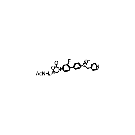 CC(=O)NC[C@H]1CN(c2ccc(-c3ccc([S+]([O-])Cc4ccncc4)cc3)c(F)c2)C(=O)O1